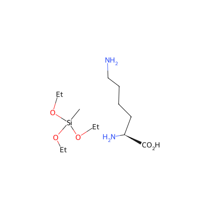 CCO[Si](C)(OCC)OCC.NCCCC[C@H](N)C(=O)O